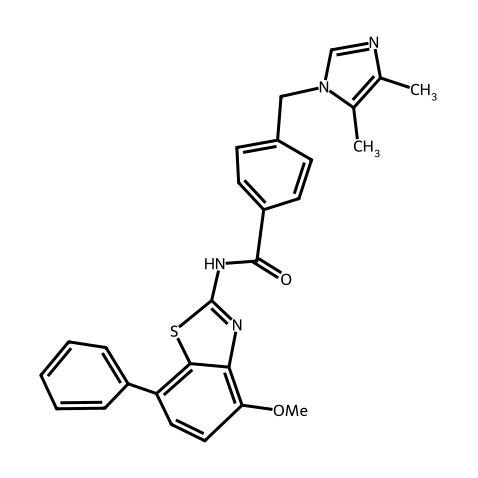 COc1ccc(-c2ccccc2)c2sc(NC(=O)c3ccc(Cn4cnc(C)c4C)cc3)nc12